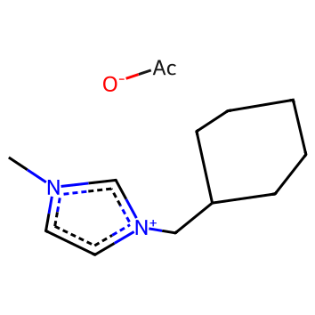 CC(=O)[O-].Cn1cc[n+](CC2CCCCC2)c1